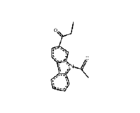 CCC(=O)c1ccc2c3ccccc3n(C(C)=O)c2c1